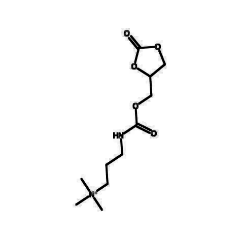 C[N+](C)(C)CCCNC(=O)OCC1COC(=O)O1